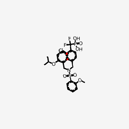 COc1ccccc1S(=O)(=O)N(Cc1ccc(C(F)(F)P(=O)(O)O)c(Cl)c1)Cc1ccccc1OC(C)C